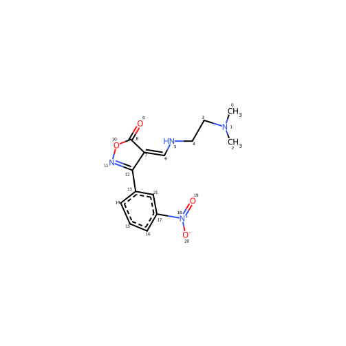 CN(C)CCNC=C1C(=O)ON=C1c1cccc([N+](=O)[O-])c1